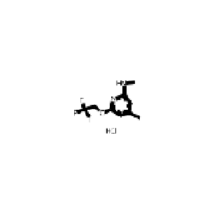 CNc1cc(C)cc(OCC(F)(F)F)n1.Cl